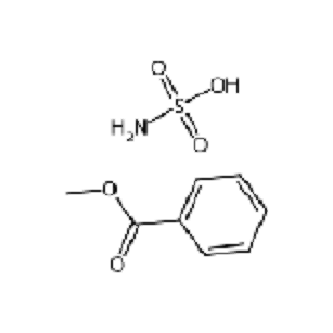 COC(=O)c1ccccc1.NS(=O)(=O)O